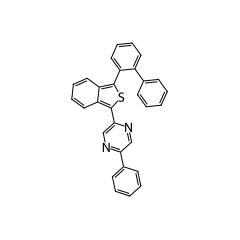 c1ccc(-c2cnc(-c3sc(-c4ccccc4-c4ccccc4)c4ccccc34)cn2)cc1